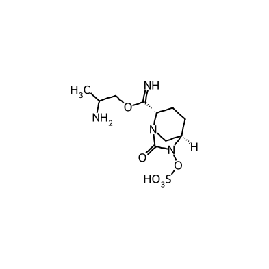 CC(N)COC(=N)[C@@H]1CC[C@@H]2CN1C(=O)N2OS(=O)(=O)O